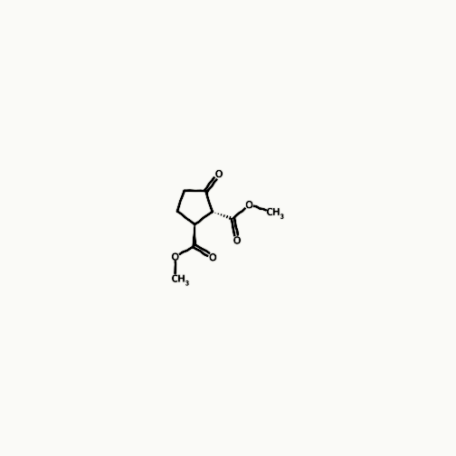 COC(=O)[C@H]1C(=O)CC[C@@H]1C(=O)OC